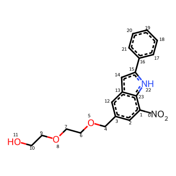 O=[N+]([O-])c1cc(COCCOCCO)cc2cc(-c3ccccc3)[nH]c12